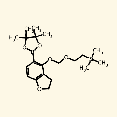 CC1(C)OB(c2ccc3c(c2OCOCC[Si](C)(C)C)CCO3)OC1(C)C